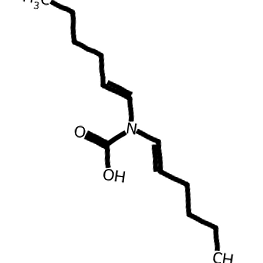 CCCCC=CN(C=CCCCC)C(=O)O